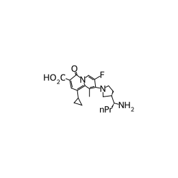 CCC[C@H](N)[C@@H]1CCN(c2c(F)cn3c(=O)c(C(=O)O)cc(C4CC4)c3c2C)C1